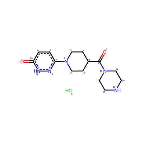 Cl.O=C(C1CCN(c2ccc(=O)[nH]n2)CC1)N1CCNCC1